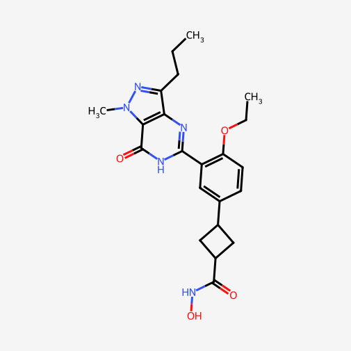 CCCc1nn(C)c2c(=O)[nH]c(-c3cc(C4CC(C(=O)NO)C4)ccc3OCC)nc12